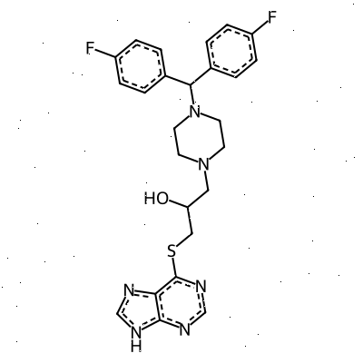 OC(CSc1ncnc2[nH]cnc12)CN1CCN(C(c2ccc(F)cc2)c2ccc(F)cc2)CC1